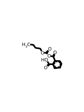 CCCCOC(=O)OC(=O)c1ccccc1C(=O)O